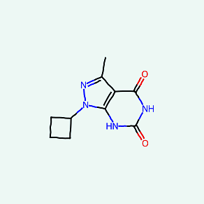 Cc1nn(C2CCC2)c2[nH]c(=O)[nH]c(=O)c12